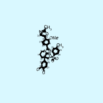 COc1cc(-c2nnc3n2CCCC3(COS(=O)(=O)c2ccc(C)cc2)c2ccc(Cl)c(Cl)c2)ccc1-c1cnc(C)o1